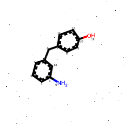 Nc1[c]ccc(Cc2ccc(O)cc2)c1